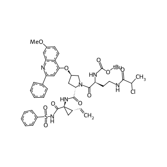 C=C[C@@H]1C[C@]1(NC(=O)[C@@H]1C[C@@H](Oc2cc(-c3ccccc3)nc3cc(OC)ccc23)CN1C(=O)[C@H](CCNC(=O)C(C)Cl)NC(=O)OC(C)(C)C)C(=O)NS(=O)(=O)c1ccccc1